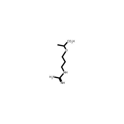 CC(OCCCNC(=N)N)C(=O)O